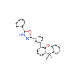 CC1(C)c2ccccc2Oc2c(-c3cccc(C4=NNC(c5ccccc5)O4)c3)cccc21